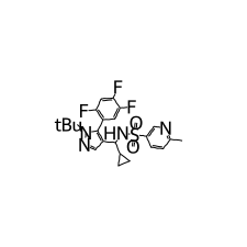 Cc1ccc(S(=O)(=O)NC(c2cnn(C(C)(C)C)c2-c2cc(F)c(F)cc2F)C2CC2)cn1